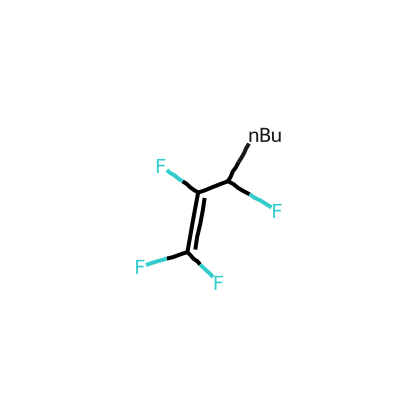 CCCCC(F)C(F)=C(F)F